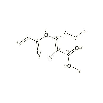 C=CC(=O)OC(CCC)=C(C)C(=O)OC